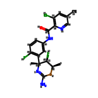 C[C@H]1SC(N)=N[C@](C)(c2cc(NC(=O)c3ncc(C#N)cc3Cl)ccc2F)[C@H]1F